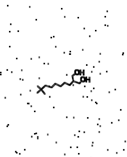 CC(C)(C)CCCCCCC(CO)CO